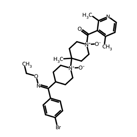 CCON=C(c1ccc(Br)cc1)C1CC[N+]([O-])(C2(C)CC[N+]([O-])(C(=O)c3c(C)ccnc3C)CC2)CC1